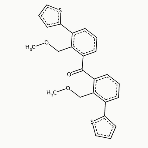 COCc1c(C(=O)c2cccc(-c3cccs3)c2COC)cccc1-c1cccs1